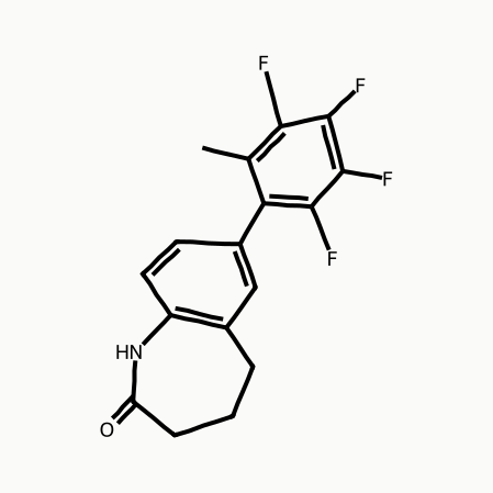 Cc1c(F)c(F)c(F)c(F)c1-c1ccc2c(c1)CCCC(=O)N2